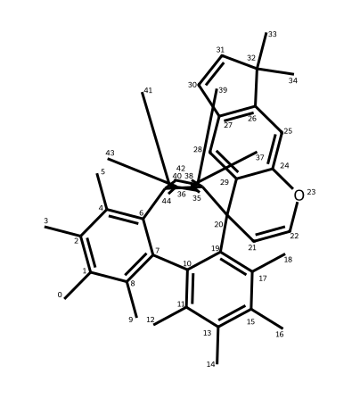 Cc1c(C)c(C)c2c(c1C)-c1c(C)c(C)c(C)c(C)c1C1(C=COc3cc4c(cc31)C=CC4(C)C)c1c(C)c(C)c(C)c(C)c1-2